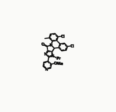 COc1cnccc1-c1nc2c(n1C(C)C)C1c3ccc(Cl)cc3-c3c(Cl)ccc(C)c3N1C2=O